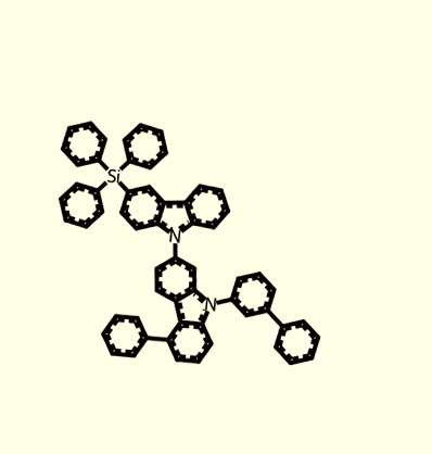 c1ccc(-c2cccc(-n3c4cc(-n5c6ccccc6c6cc([Si](c7ccccc7)(c7ccccc7)c7ccccc7)ccc65)ccc4c4c(-c5ccccc5)cccc43)c2)cc1